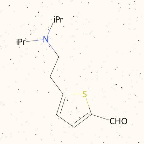 CC(C)N(CCc1ccc(C=O)s1)C(C)C